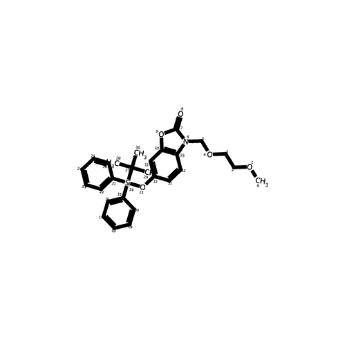 COCCOCn1c(=O)oc2cc(O[Si](c3ccccc3)(c3ccccc3)C(C)(C)C)ccc21